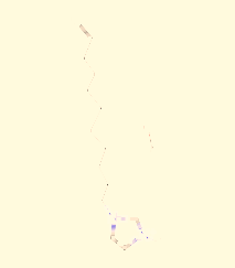 C=CCCCCCCCCCn1cc[n+](C)c1.CC(=O)[O-]